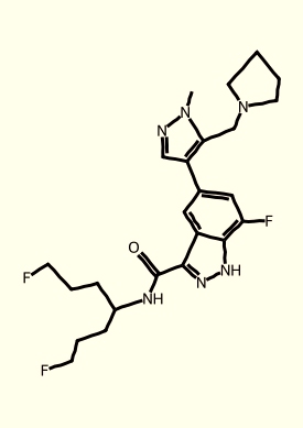 Cn1ncc(-c2cc(F)c3[nH]nc(C(=O)NC(CCCF)CCCF)c3c2)c1CN1CCCC1